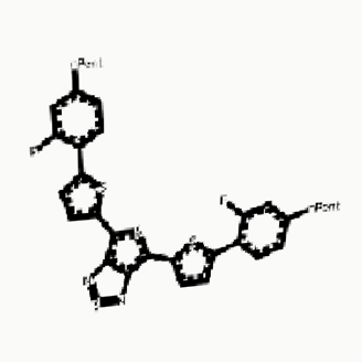 CCCCCc1ccc(-c2ccc(-c3sc(-c4ccc(-c5ccc(CCCCC)cc5F)s4)c4c3N=S=N4)s2)c(F)c1